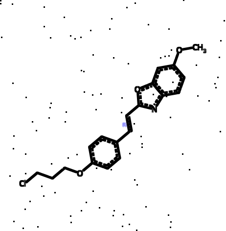 COc1ccc2nc(/C=C/c3ccc(OCCCCl)cc3)oc2c1